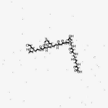 CCCN(CCNC(=O)CC(=O)NCCN(CCNC(=O)CC(=O)NCC[N+]1(CCNC(=O)CC(=O)NCCNCCNC(=O)CC(=O)O)CC(O)C1)CC(O)CN(C)C)CC(O)CCl